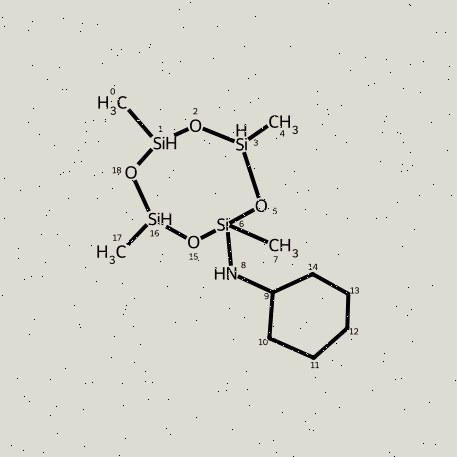 C[SiH]1O[SiH](C)O[Si](C)(NC2CCCCC2)O[SiH](C)O1